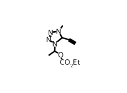 C#CC1N(C)N=NN1C(C)OC(=O)OCC